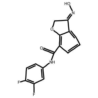 O=C(Nc1ccc(F)c(F)c1)c1cccc2c1OCC2=NO